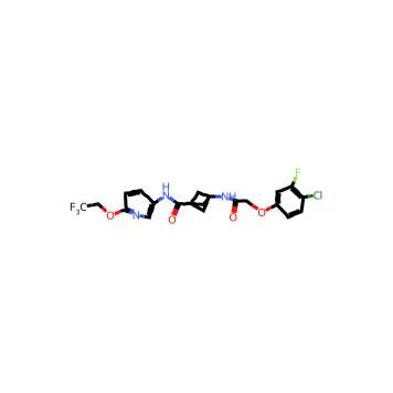 O=C(COc1ccc(Cl)c(F)c1)NC12CC(C(=O)Nc3ccc(OCC(F)(F)F)nc3)(C1)C2